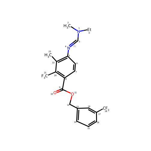 CCN(C)/C=N/c1ccc(C(=O)OCc2cccc(C(F)(F)F)c2)c(C(F)(F)F)c1C